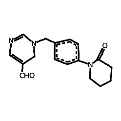 O=CC1=CN=CN(Cc2ccc(N3CCCCC3=O)cc2)C1